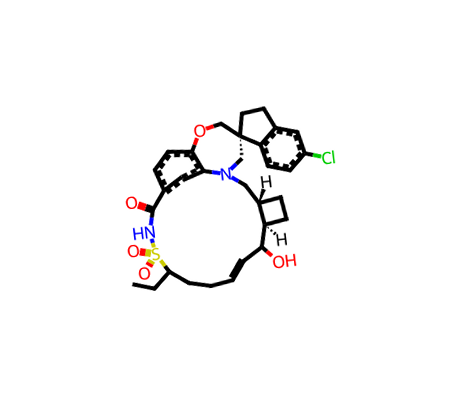 CCC1CC/C=C/C(O)[C@@H]2CC[C@H]2CN2C[C@@]3(CCc4cc(Cl)ccc43)COc3ccc(cc32)C(=O)NS1(=O)=O